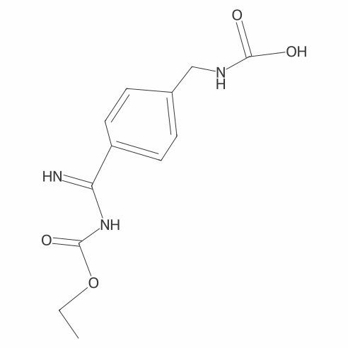 CCOC(=O)NC(=N)c1ccc(CNC(=O)O)cc1